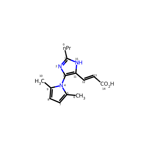 CCCc1nc(-n2c(C)ccc2C)c(C=CC(=O)O)[nH]1